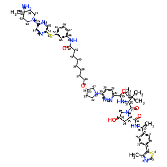 Cc1ncsc1-c1ccc([C@H](C)NC(=O)[C@@H]2C[C@@H](O)CN2C(=O)[C@@H](NC(=O)c2ccc(N3CC[C@H](OCCCCCCCC(=O)Nc4cccc(Sc5cnc(N6CCC(C)(N)CC6)cn5)c4)C3)nn2)C(C)(C)C)cc1